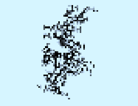 C=C(O[C@H]1OC(CCC(C)(C)[Si](O)(c2ccccc2)c2ccccc2)[C@@H](O[C@H](OC)C(O)C(OCCCC)C(=C)O[C@H]2OC(CO)[C@@H](O[C@H](OC)C(O)C(OCCCC)C(=C)O[C@@H](OCCO)C(COCCCC)N=[N+]=[N-])C(OCCCC)C2N=[N+]=[N-])C(OCCCC)C1N=[N+]=[N-])C(OCCCC)C(O)C(OC)OC